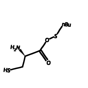 CCCCSOC(=O)[C@@H](N)CS